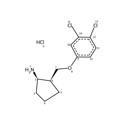 Cl.N[C@@H]1CCC[C@@H]1COc1ccc(Cl)c(Cl)c1